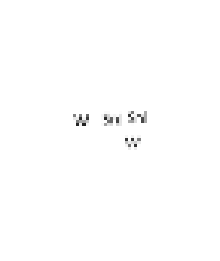 [Sn].[Sn].[W].[W]